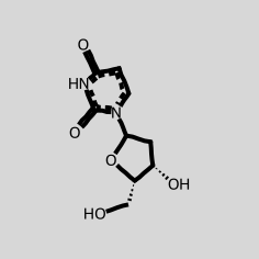 O=c1ccn(C2C[C@H](O)[C@H](CO)O2)c(=O)[nH]1